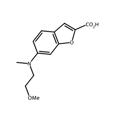 COCCN(C)c1ccc2cc(C(=O)O)oc2c1